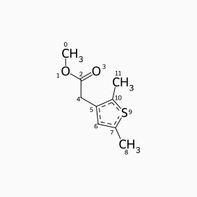 COC(=O)Cc1cc(C)sc1C